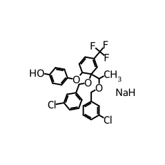 CC(OCc1cccc(Cl)c1)C1(OCc2cccc(Cl)c2)C=C(C(F)(F)F)C=CC1Oc1ccc(O)cc1.[NaH]